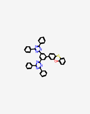 c1ccc(-c2nc(-c3ccccc3)nc(-c3cc(-c4ccc5c(c4)Oc4ccccc4S5)cc(-c4nc(-c5ccccc5)nc(-c5ccccc5)n4)c3)n2)cc1